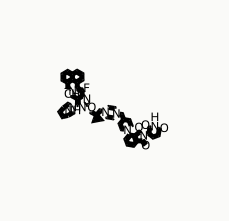 C#Cc1cccc2cccc(-c3ncc4c(N5CC6CCC(C5)N6)nc(OCC5(CN6CCN(CC7CCN(c8cccc9c8C(=O)N(C8CCC(=O)NC8=O)C9=O)CC7)CC6)CC5)nc4c3F)c12